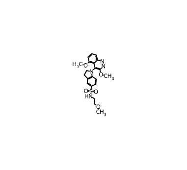 COCCNS(=O)(=O)c1ccc2c(c1)CCN2c1c(OC)nnc2cccc(OC)c12